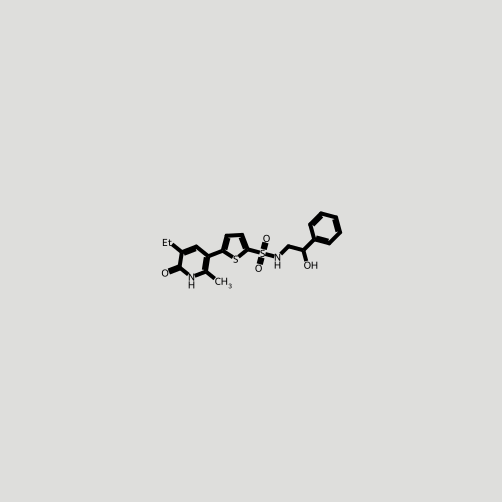 CCc1cc(-c2ccc(S(=O)(=O)NCC(O)c3ccccc3)s2)c(C)[nH]c1=O